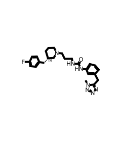 Cn1nnnc1Cc1cccc(NC(=O)NCCCN2CCC[C@@H](Cc3ccc(F)cc3)C2)c1